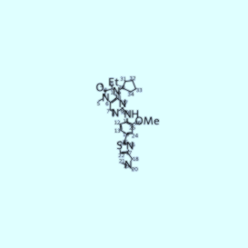 CC[C@@H]1C(=O)N(C)c2cnc(Nc3ccc(-c4nc(CN(C)C)cs4)cc3OC)nc2N1C1CCCC1